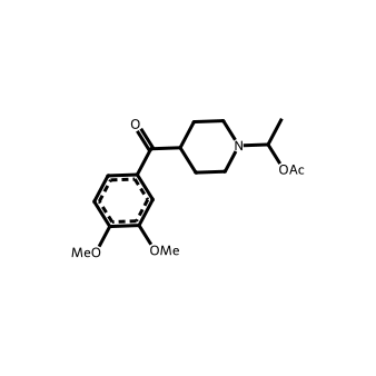 COc1ccc(C(=O)C2CCN(C(C)OC(C)=O)CC2)cc1OC